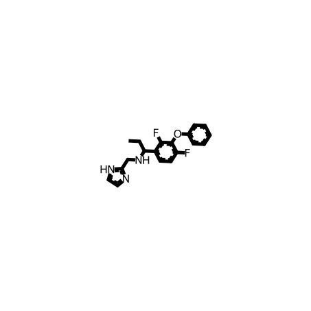 CCC(NCc1ncc[nH]1)c1ccc(F)c(Oc2ccccc2)c1F